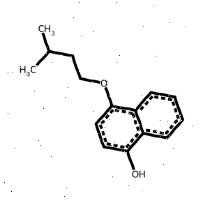 CC(C)CCOc1ccc(O)c2ccccc12